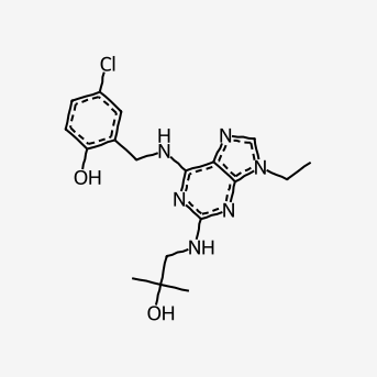 CCn1cnc2c(NCc3cc(Cl)ccc3O)nc(NCC(C)(C)O)nc21